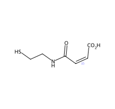 O=C(O)/C=C\C(=O)NCCS